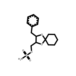 NS(=O)(=O)OCC1OC2(CCCCC2)OC1Cc1ccccc1